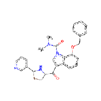 CN(C)C(=O)n1cc(C(=O)C2CSC(c3cccnc3)N2)c2cccc(OCc3ccccc3)c21